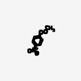 COOc1ccc([N+](=O)[O-])cc1